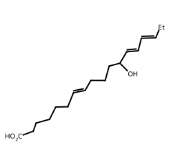 CCC=CC=CC(O)CCCC=CCCCCCC(=O)O